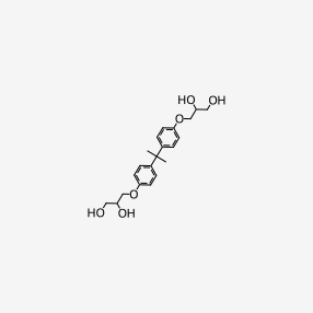 CC(C)(c1ccc(OCC(O)CO)cc1)c1ccc(OCC(O)CO)cc1